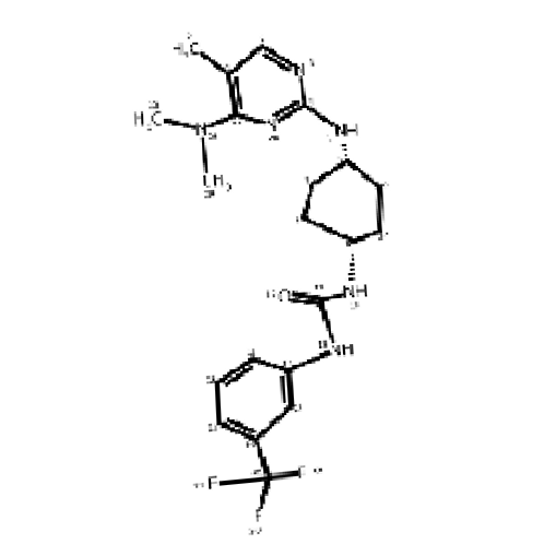 Cc1cnc(N[C@H]2CC[C@@H](NC(=O)Nc3cccc(C(F)(F)F)c3)CC2)nc1N(C)C